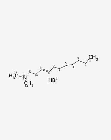 Br.CCCCCCCC=CCCN(C)C